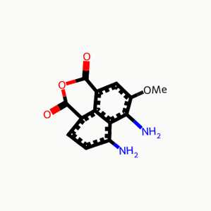 COc1cc2c3c(ccc(N)c3c1N)C(=O)OC2=O